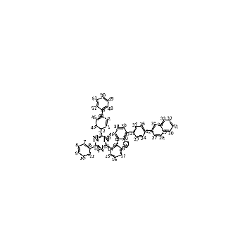 C1=CC(c2nc(-c3ccccc3)nc(-c3cccc4oc5c(-c6ccc(-c7ccc8ccccc8c7)cc6)cccc5c34)n2)CC=C1c1ccccc1